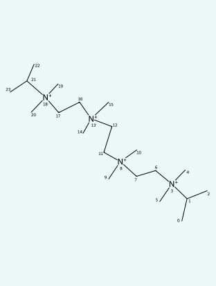 CC(C)[N+](C)(C)CC[N+](C)(C)CC[N+](C)(C)CC[N+](C)(C)C(C)C